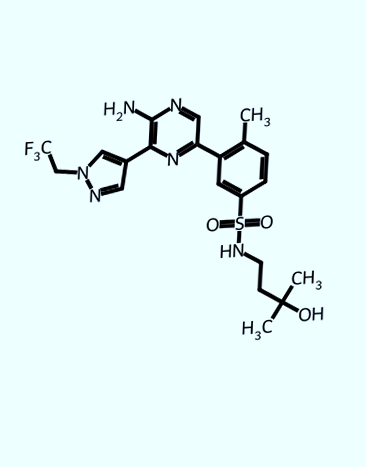 Cc1ccc(S(=O)(=O)NCCC(C)(C)O)cc1-c1cnc(N)c(-c2cnn(CC(F)(F)F)c2)n1